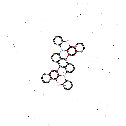 c1ccc2c(c1)Oc1ccccc1N2c1cccc2c(-c3ccc4ccccc4c3)c3c(N4c5ccccc5Oc5ccccc54)cccc3c(-c3ccc4ccccc4c3)c12